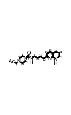 CC(=O)CN1CCN(C(=O)NCCCCc2ccc3c(n2)NCCC3)CC1